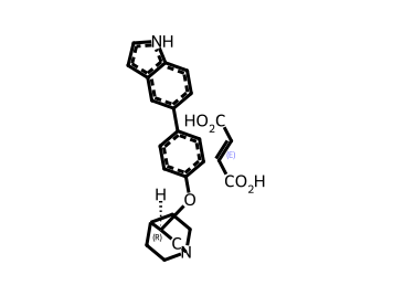 O=C(O)/C=C/C(=O)O.c1cc2cc(-c3ccc(O[C@H]4CN5CCC4CC5)cc3)ccc2[nH]1